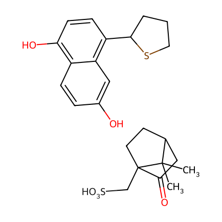 CC1(C)C2CCC1(CS(=O)(=O)O)C(=O)C2.Oc1ccc2c(O)ccc(C3CCCS3)c2c1